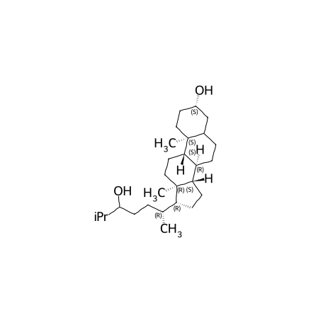 CC(C)C(O)CC[C@@H](C)[C@H]1CC[C@H]2[C@@H]3CCC4C[C@@H](O)CC[C@]4(C)[C@H]3CC[C@]12C